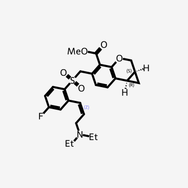 CCN(CC)C/C=C\c1cc(F)ccc1S(=O)(=O)Cc1ccc2c(c1C(=O)OC)OC[C@H]1C[C@@H]21